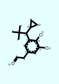 CC(C)(C)[C](c1cc(CC=O)cc(Cl)c1Cl)C1CC1